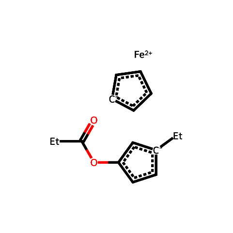 CCC(=O)Oc1cc[c-](CC)c1.[Fe+2].c1cc[cH-]c1